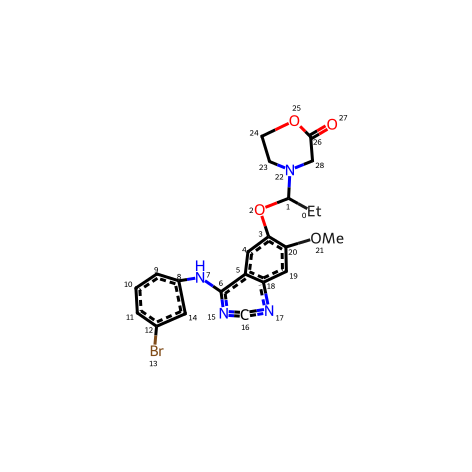 CCC(Oc1cc2c(Nc3cccc(Br)c3)ncnc2cc1OC)N1CCOC(=O)C1